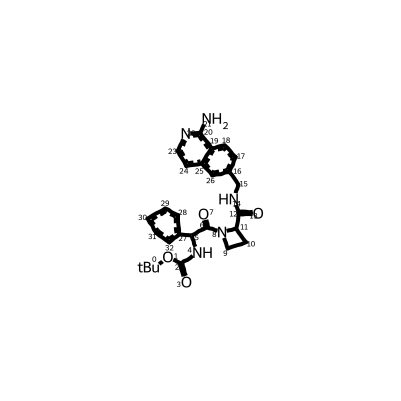 CC(C)(C)OC(=O)NC(C(=O)N1CCC1C(=O)NCc1ccc2c(N)nccc2c1)c1ccccc1